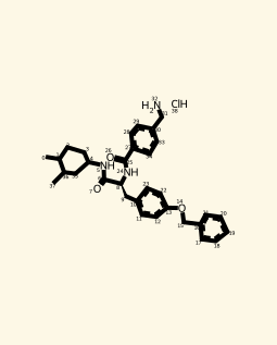 CC1CCC(NC(=O)[C@H](Cc2ccc(OCc3ccccc3)cc2)NC(=O)c2ccc(CN)cc2)CC1C.Cl